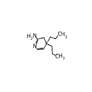 CCCC1(CCC)C=CN=C(N)C1